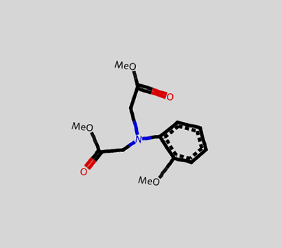 COC(=O)CN(CC(=O)OC)c1ccccc1OC